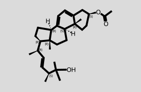 CC(=O)O[C@H]1CC[C@@]2(C)C(=CC=C3[C@@H]4CC[C@H]([C@H](C)C=C[C@H](C)C(C)(C)O)[C@@]4(C)CC[C@@H]32)C1